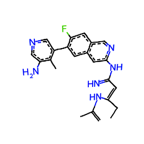 C=C(C)N/C(=C\C(=N)Nc1cc2cc(-c3cncc(N)c3C)c(F)cc2cn1)CC